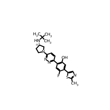 Cc1ncc(-c2cc(O)c(-c3ccc(N4CC[C@H](NC(C)(C)C)C4)nn3)cc2F)s1